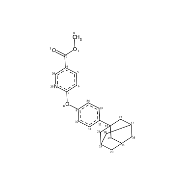 COC(=O)c1ccc(Oc2ccc(C34CC5CC(CC(C5)C3)C4)cc2)nc1